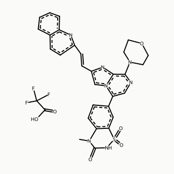 CN1C(=O)NS(=O)(=O)c2cc(-c3cnc(N4CCOCC4)c4nc(/C=C/c5ccc6ccccc6n5)cn34)ccc21.O=C(O)C(F)(F)F